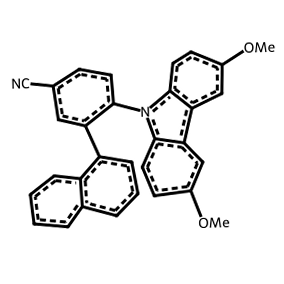 COc1ccc2c(c1)c1cc(OC)ccc1n2-c1ccc(C#N)cc1-c1cccc2ccccc12